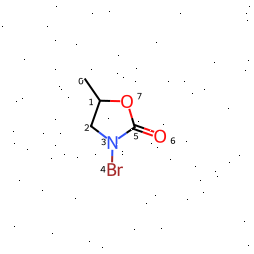 CC1CN(Br)C(=O)O1